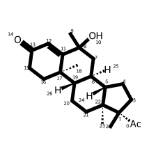 CC(=O)[C@@]1(C)CC[C@H]2[C@@H]3CC(C)(O)C4=CC(=O)CC[C@]4(C)[C@H]3CC[C@@]21C